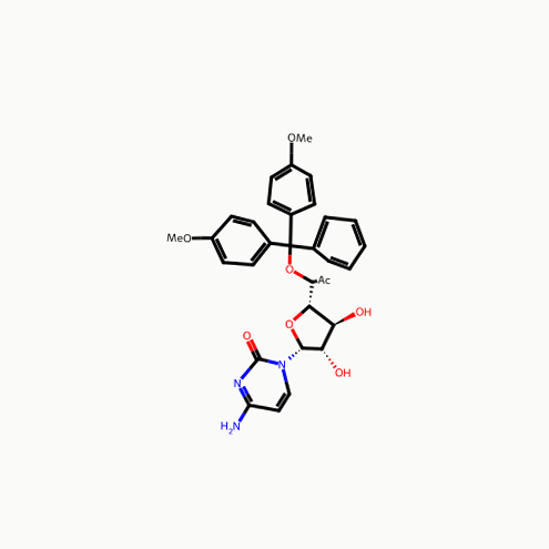 COc1ccc(C(OC(C(C)=O)[C@H]2O[C@@H](n3ccc(N)nc3=O)[C@@H](O)[C@@H]2O)(c2ccccc2)c2ccc(OC)cc2)cc1